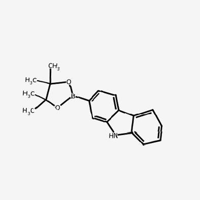 CC1(C)OB(c2ccc3c(c2)[nH]c2ccccc23)OC1(C)C